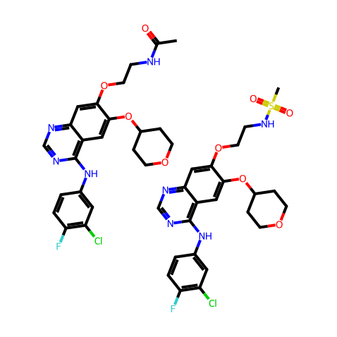 CC(=O)NCCOc1cc2ncnc(Nc3ccc(F)c(Cl)c3)c2cc1OC1CCOCC1.CS(=O)(=O)NCCOc1cc2ncnc(Nc3ccc(F)c(Cl)c3)c2cc1OC1CCOCC1